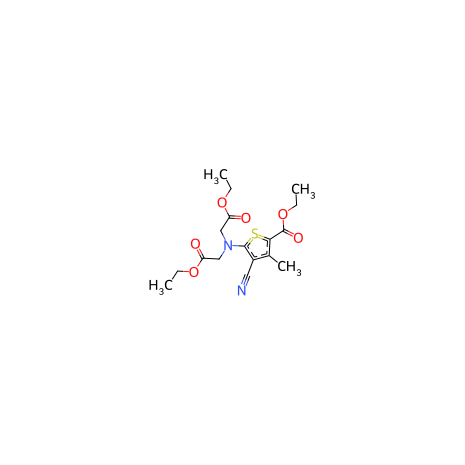 CCOC(=O)CN(CC(=O)OCC)c1sc(C(=O)OCC)c(C)c1C#N